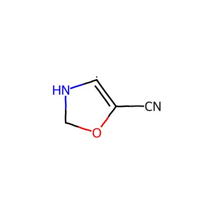 N#CC1=[C]NCO1